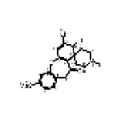 CSc1ccc2c(c1)OC1=C(C(=O)C2)C2(CCN(C)CC2)C(Cl)C(Cl)=C1